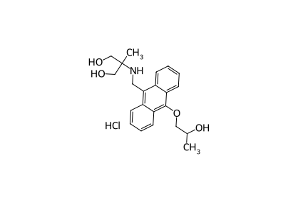 CC(O)COc1c2ccccc2c(CNC(C)(CO)CO)c2ccccc12.Cl